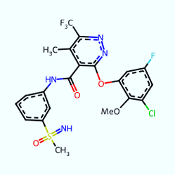 COc1c(Cl)cc(F)cc1Oc1nnc(C(F)(F)F)c(C)c1C(=O)Nc1cccc(S(C)(=N)=O)c1